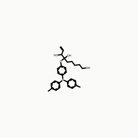 C=CC(O)C(O)(CCCCCO)Oc1ccc(N(c2ccc(C)cc2)c2ccc(C)cc2)cc1